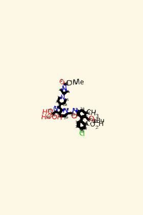 COC(=O)N1CC(N2CCC(C3=NC(C(O)(O)O)c4ccc(-c5nc6cc(C)c(C(OC(C)(C)C)C(=O)O)c(-c7ccc(Cl)cc7)c6o5)nc43)CC2)C1